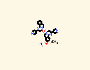 COc1cc2c(cc1OC)-c1nc(-c3ccncc3)cc(=O)n1CC2.O=c1cc(-c2ccncc2)nc2n1CCc1ccccc1-2